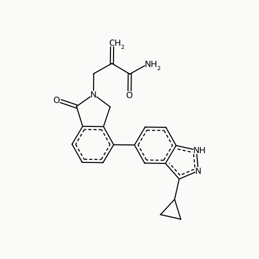 C=C(CN1Cc2c(cccc2-c2ccc3[nH]nc(C4CC4)c3c2)C1=O)C(N)=O